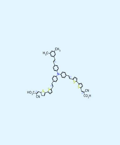 Cc1cc(C)cc(/C=C/c2ccc(N(c3ccc(/C=C/c4ccc(C5=CCC(/C=C(\C#N)C(=O)O)S5)s4)cc3)c3ccc(/C=C/c4ccc(-c5ccc(/C=C(\C#N)C(=O)O)s5)s4)cc3)cc2)c1